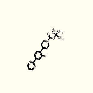 CC(C)(C)OC(=O)N1CC=C(c2ccc(-c3ncccn3)cc2F)CC1